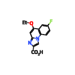 CCOc1cc2nc(C(=O)O)cn2c2ccc(F)cc12